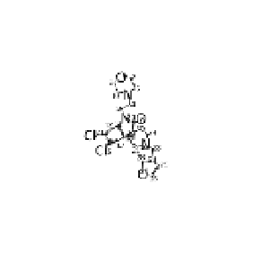 O=C1N(CCN2CCOCC2)c2cc(Cl)c(Cl)cc2C12CCN(Cc1ccoc1)CC2